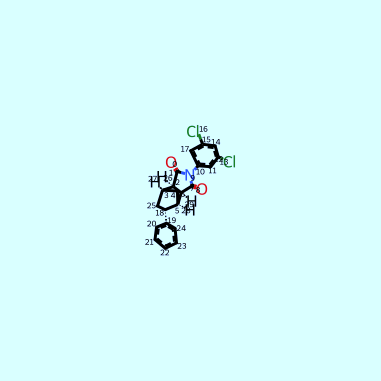 O=C1[C@@H]2[C@H]3C[C@@H]([C@@H]2C(=O)N1c1cc(Cl)cc(Cl)c1)[C@H](c1ccccc1)C3